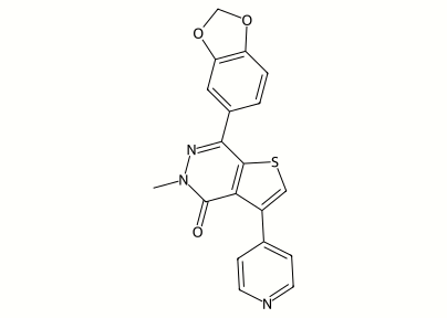 Cn1nc(-c2ccc3c(c2)OCO3)c2scc(-c3ccncc3)c2c1=O